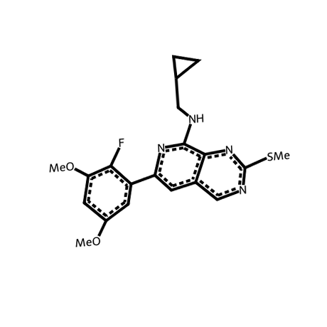 COc1cc(OC)c(F)c(-c2cc3cnc(SC)nc3c(NCC3CC3)n2)c1